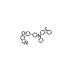 c1ccc(N(c2ccc(-c3ccc4oc5ccc6ccncc6c5c4c3)cc2)c2ccc3sc4ccccc4c3c2)cc1